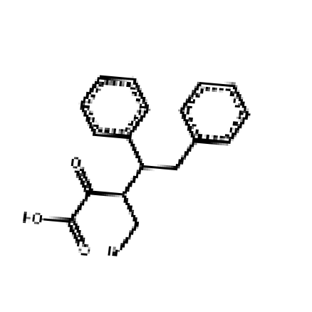 O=C(O)C(=O)C(CBr)C(Cc1ccccc1)c1ccccc1